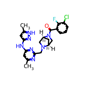 Cc1cc(Nc2cc(C)[nH]n2)nc(CN2C[C@@H]3C[C@H]2CN3C(=O)c2cccc(Cl)c2F)n1